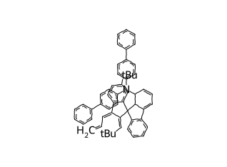 C=C/C=C1\C(=C/C(C)(C)C)C2(c3ccccc3C3=CC=CC(N(c4ccc(-c5ccccc5)cc4)c4ccc(-c5ccccc5)cc4)C32)c2cc(C(C)(C)C)ccc21